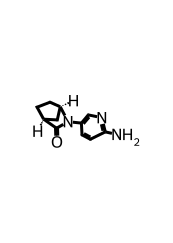 Nc1ccc(N2C(=O)[C@H]3CC[C@@H]2C3)cn1